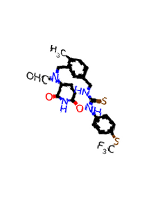 Cc1ccc(CNC(=S)Nc2ccc(SC(F)(F)F)cc2)cc1CN(C=O)C1CCC(=O)NC1=O